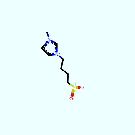 Cn1cc[n+](CCCC[SH](=O)=O)c1